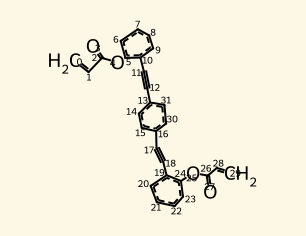 C=CC(=O)Oc1ccccc1C#Cc1ccc(C#Cc2ccccc2OC(=O)C=C)cc1